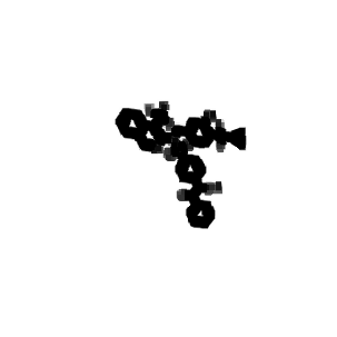 O=C(c1ccccc1)C(O)c1ccc(S(=O)(=O)N(Cc2ccc(C(F)(F)C3CC3)c(Cl)c2)c2ncc3ccccc3c2C(F)(F)F)cc1